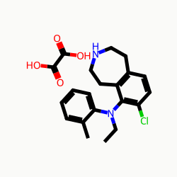 CCN(c1ccccc1C)c1c(Cl)ccc2c1CCNCC2.O=C(O)C(=O)O